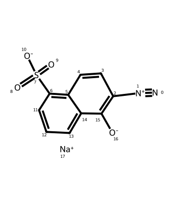 N#[N+]c1ccc2c(S(=O)(=O)[O-])cccc2c1[O-].[Na+]